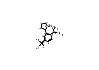 CC(C)c1ccc(C(F)(F)F)cc1C1CCCN1